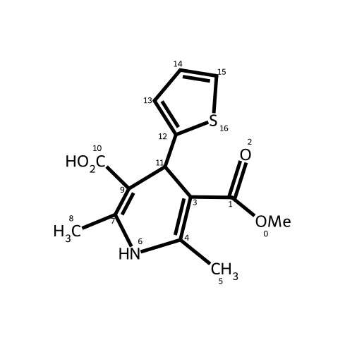 COC(=O)C1=C(C)NC(C)=C(C(=O)O)C1c1cccs1